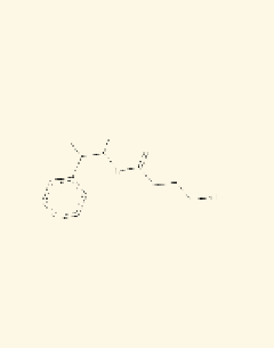 CCCCCCCCCCCCCC(=O)NC(C)C(S)c1ccccc1